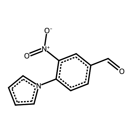 O=Cc1ccc(-n2cccc2)c([N+](=O)[O-])c1